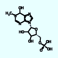 CN1C=Nc2c(ncn2[C@@H]2O[C@H](COP(=O)(O)O)C(O)C2O)C1O